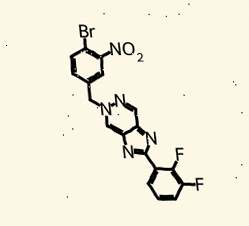 O=[N+]([O-])c1cc(Cn2cc3nc(-c4cccc(F)c4F)nc-3cn2)ccc1Br